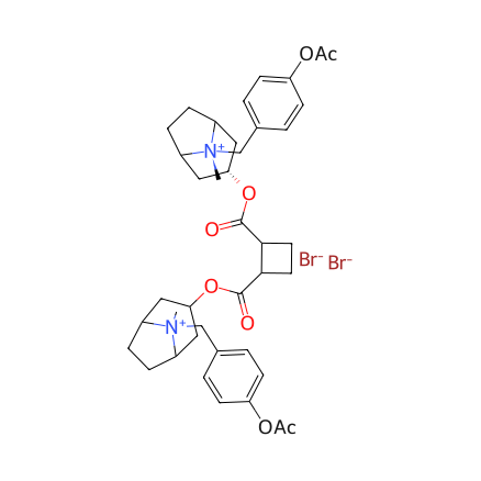 CC(=O)Oc1ccc(C[N+]2(C)C3CCC2CC(OC(=O)C2CCC2C(=O)O[C@H]2CC4CCC(C2)[N@@+]4(C)Cc2ccc(OC(C)=O)cc2)C3)cc1.[Br-].[Br-]